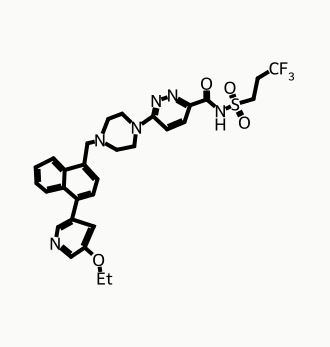 CCOc1cncc(-c2ccc(CN3CCN(c4ccc(C(=O)NS(=O)(=O)CCC(F)(F)F)nn4)CC3)c3ccccc23)c1